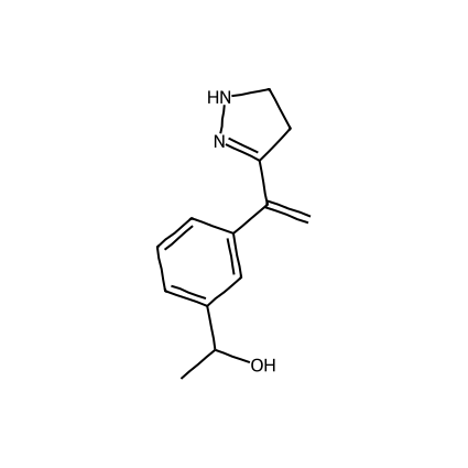 C=C(C1=NNCC1)c1cccc(C(C)O)c1